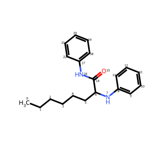 CCCCCCC(Nc1ccccc1)C(=O)Nc1ccccc1